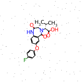 CC(C)[C@H](C(=O)O)N1CC(=O)Nc2ccc(Oc3ccc(F)cc3)cc2C1=O